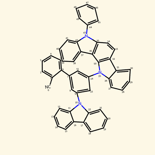 N#Cc1ccccc1-c1cc(-n2c3ccccc3c3ccccc32)cc(-n2c3ccccc3c3ccc4c(c5ccccc5n4-c4ccccc4)c32)c1